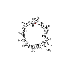 C/C=C/C[C@@H](C)[C@@H](O)[C@H]1C(=O)N[C@H](CC)C(=O)N(C)C(C(=O)O)C(=O)N(C)[C@@H](CC(C)(C)O)C(=O)N[C@H](C(C)C)C(=O)N(C)[C@H](CCC(C)C)C(=O)N[C@H](C)C(=O)N[C@@H](C)C(=O)N(C)[C@H](CC(C)C)C(=O)N(C)[C@H](CCC(C)C)C(=O)N(C)[C@H](C(C)C)C(=O)N1C